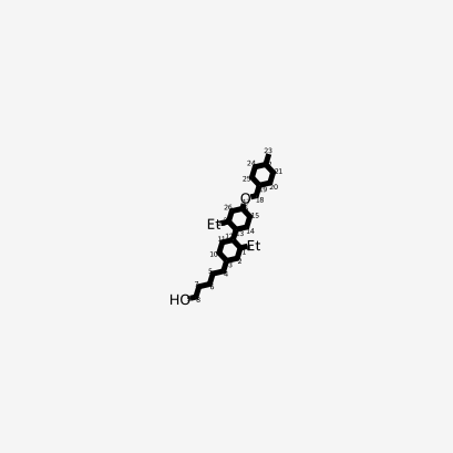 CCC1CC(CCCCCO)CCC1C1CCC(OCC2CCC(C)CC2)CC1CC